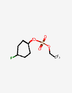 O=S(=O)(OCC(F)(F)F)OC1CCC(F)CC1